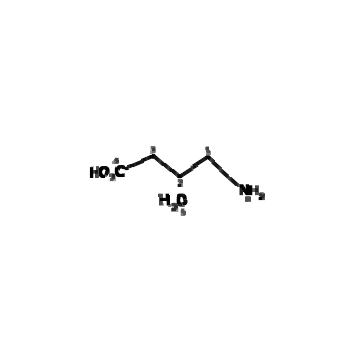 NCCCC(=O)O.O